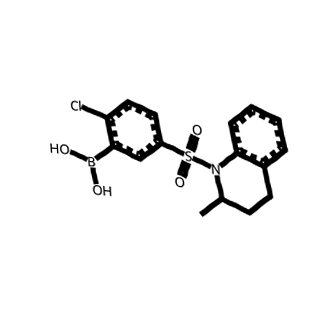 CC1CCc2ccccc2N1S(=O)(=O)c1ccc(Cl)c(B(O)O)c1